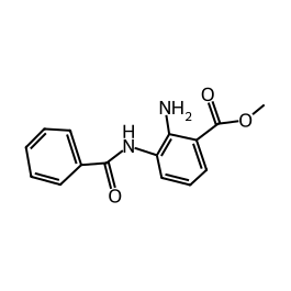 COC(=O)c1cccc(NC(=O)c2ccccc2)c1N